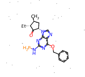 CC[C@H]1C(=O)[C@@H](n2cnc3c(OCc4ccccc4)nc(NP)nc32)C[C@@H]1C